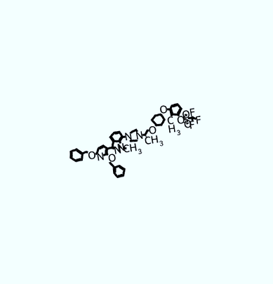 Cc1c(OC2CCC(OC[C@H](C)N3CCN(c4cccc5c(-c6ccc(OCc7ccccc7)nc6OCc6ccccc6)nn(C)c45)CC3)CC2)cccc1OS(=O)(=O)C(F)(F)F